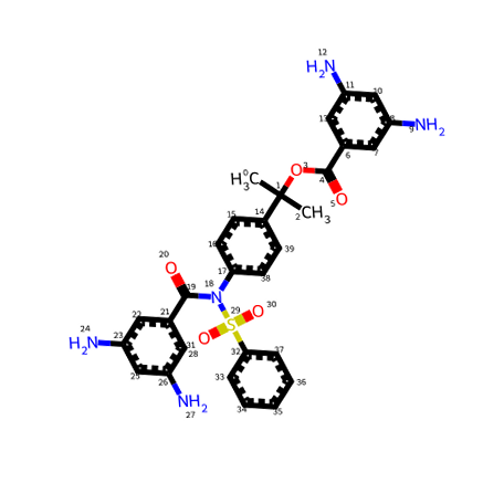 CC(C)(OC(=O)c1cc(N)cc(N)c1)c1ccc(N(C(=O)c2cc(N)cc(N)c2)S(=O)(=O)c2ccccc2)cc1